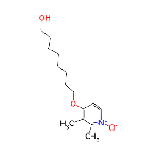 Cc1c(OCCCCCCCCO)cc[n+]([O-])c1C